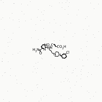 NC(=O)c1ccnc(NCCCN2CCN(c3cccc(Cl)c3)CC2)n1.O=C(O)C=CC(=O)O